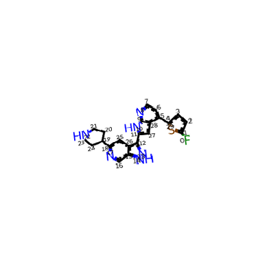 Fc1ccc(-c2ccnc3[nH]c(-c4n[nH]c5cnc(C6CCNCC6)cc45)cc23)s1